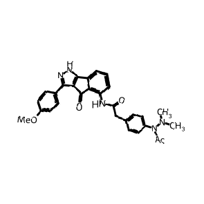 COc1ccc(-c2n[nH]c3c2C(=O)c2c(NC(=O)Cc4ccc(N(C(C)=O)N(C)C)cc4)cccc2-3)cc1